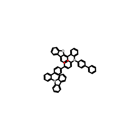 c1ccc(-c2ccc(N(c3ccc(-c4ccc(-c5ccccc5-n5c6ccccc6c6ccccc65)cc4)cc3)c3ccccc3-c3cccc4c3oc3ccccc34)cc2)cc1